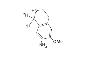 [2H]C1([2H])NCCc2cc(OC)c(N)cc21